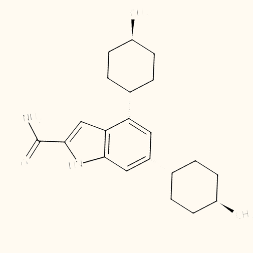 C[C@H]1CC[C@H](c2cc3[nH]c(C(N)=O)cc3c([C@H]3CC[C@H](C)CC3)c2)CC1